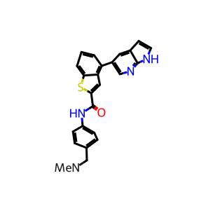 CNCc1ccc(NC(=O)c2cc3c(-c4cnc5[nH]ccc5c4)cccc3s2)cc1